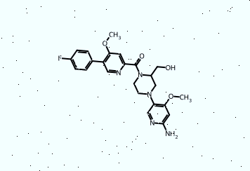 COc1cc(C(=O)N2CCN(c3cnc(N)cc3OC)CC2CO)ncc1-c1ccc(F)cc1